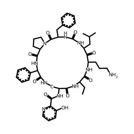 CCC1NC(=O)C(NC(=O)c2ncccc2O)CNC(=O)C(c2ccccc2)NC(=O)C2CCCN2C(=O)C(Cc2ccccc2)NC(=O)NC(CC(C)C)C(=O)C(CCCN)NC1=O